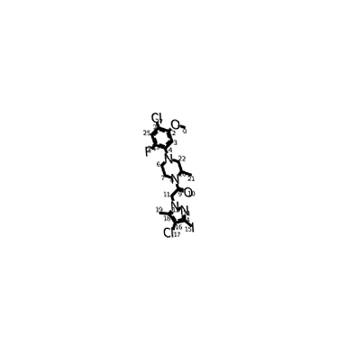 COc1cc(N2CCN(C(=O)Cn3nc(I)c(Cl)c3C)C(C)C2)c(F)cc1Cl